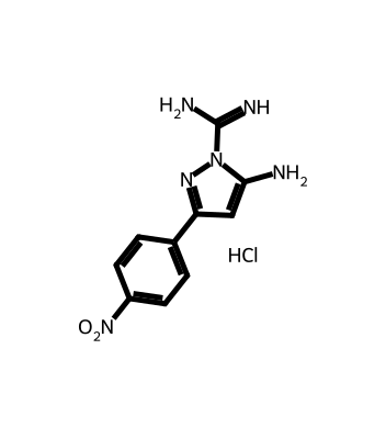 Cl.N=C(N)n1nc(-c2ccc([N+](=O)[O-])cc2)cc1N